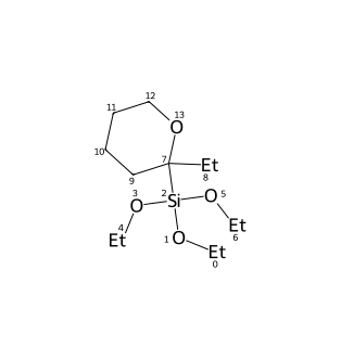 CCO[Si](OCC)(OCC)C1(CC)CCCCO1